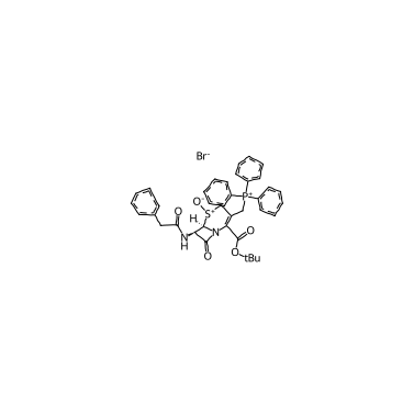 CC(C)(C)OC(=O)C1=C(C[P+](c2ccccc2)(c2ccccc2)c2ccccc2)C[S+]([O-])[C@@H]2[C@H](NC(=O)Cc3ccccc3)C(=O)N12.[Br-]